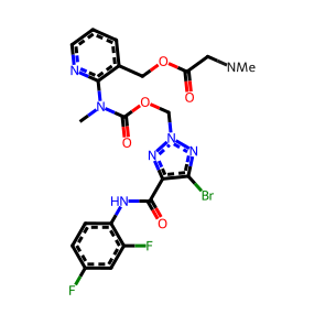 CNCC(=O)OCc1cccnc1N(C)C(=O)OCn1nc(Br)c(C(=O)Nc2ccc(F)cc2F)n1